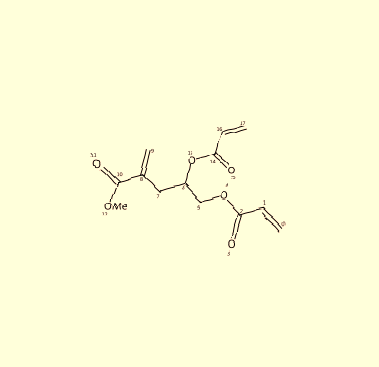 C=CC(=O)OCC(CC(=C)C(=O)OC)OC(=O)C=C